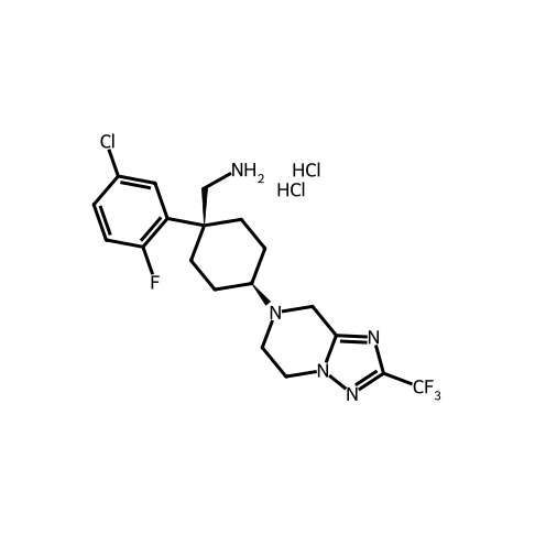 Cl.Cl.NC[C@]1(c2cc(Cl)ccc2F)CC[C@H](N2CCn3nc(C(F)(F)F)nc3C2)CC1